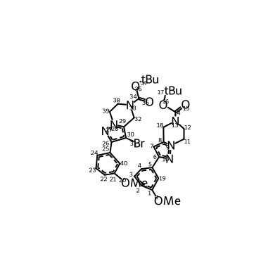 COc1cccc(-c2cc3n(n2)CCN(C(=O)OC(C)(C)C)C3)c1.COc1cccc(-c2nn3c(c2Br)CN(C(=O)OC(C)(C)C)CC3)c1